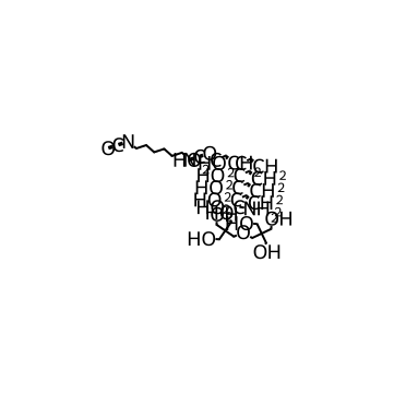 C=CC(=O)O.C=CC(=O)O.C=CC(=O)O.C=CC(=O)O.C=CC(=O)O.NC(=O)O.O=C=NCCCCCCN=C=O.OCC(CO)(CO)COCC(CO)(CO)CO